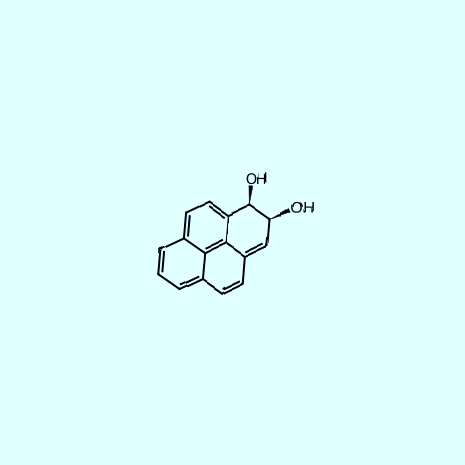 O[C@@H]1c2ccc3cccc4ccc(c2c34)=C[C@@H]1O